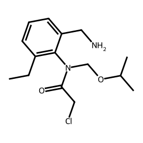 CCc1cccc(CN)c1N(COC(C)C)C(=O)CCl